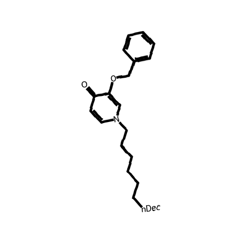 CCCCCCCCCCCCCCCCn1ccc(=O)c(OCc2ccccc2)c1